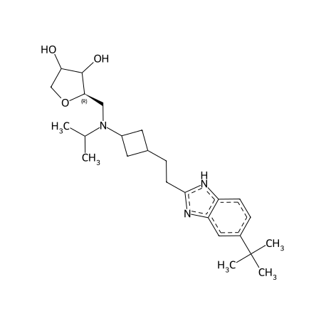 CC(C)N(C[C@H]1OCC(O)C1O)C1CC(CCc2nc3cc(C(C)(C)C)ccc3[nH]2)C1